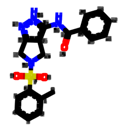 Cc1ccccc1S(=O)(=O)N1Cc2n[nH]c(NC(=O)c3ccccc3)c2C1